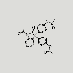 CC(=O)Oc1ccc(C2(c3ccc(OC(C)=O)cc3)C(=O)N(C(C)=O)c3ccccc32)cc1